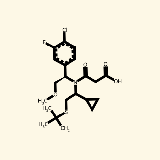 COC[C@@H](c1ccc(Cl)c(F)c1)N(C(=O)CC(=O)O)C(CSC(C)(C)C)C1CC1